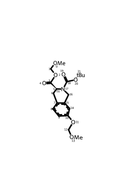 COCOC(=O)[C@@H]1Cc2ccc(OCOC)cc2CN1C(=O)OC(C)(C)C